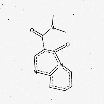 CN(C)C(=O)c1cnc2ccccn2c1=O